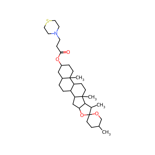 CC1CCC2(OC1)OC1CC3C4CCC5CC(OC(=O)CCN6CCSCC6)CCC5(C)C4CCC3(C)C1C2C